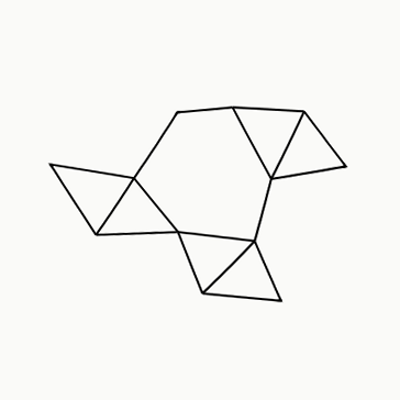 C1C2C3CC23C23CC2C32C3CC132